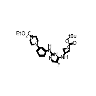 CCOC(=O)N1CCN(c2cccc(Nc3ncc(F)c(NC4CN(C(=O)OC(C)(C)C)C4)n3)c2)CC1